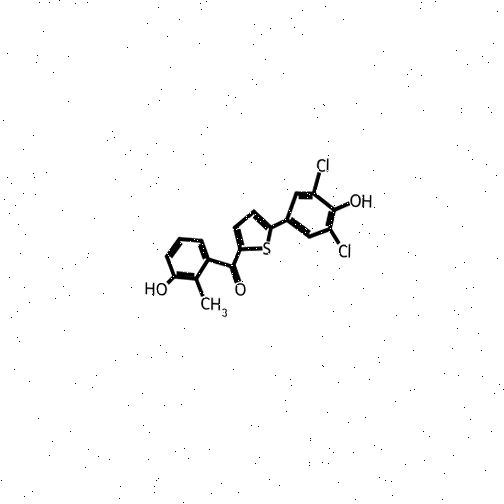 Cc1c(O)cccc1C(=O)c1ccc(-c2cc(Cl)c(O)c(Cl)c2)s1